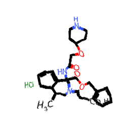 CC1CN(CCC(=O)O)C(NC(=O)COC2CCNCC2)(C(=O)OCc2ccccc2)c2ccccc21.Cl